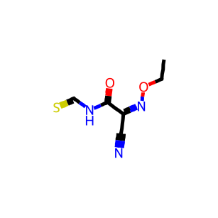 CCON=C(C#N)C(=O)NC=S